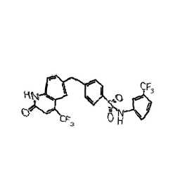 O=c1cc(C(F)(F)F)c2cc(Cc3ccc(S(=O)(=O)Nc4cccc(C(F)(F)F)c4)cc3)ccc2[nH]1